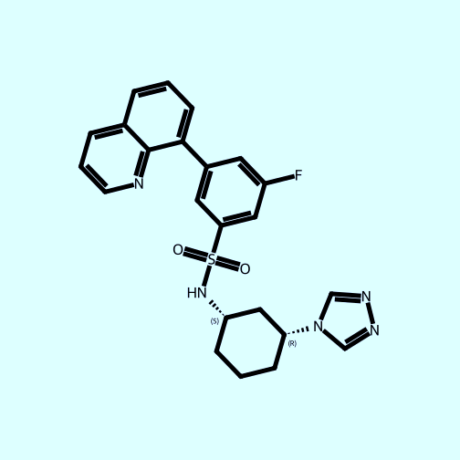 O=S(=O)(N[C@H]1CCC[C@@H](n2cnnc2)C1)c1cc(F)cc(-c2cccc3cccnc23)c1